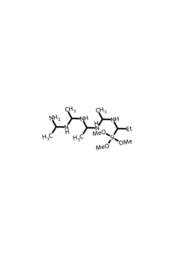 CCC(NC(C)NC(C)NC(C)NC(C)N)[Si](OC)(OC)OC